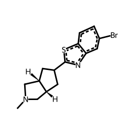 CN1C[C@H]2CC(c3nc4cc(Br)ccc4s3)C[C@H]2C1